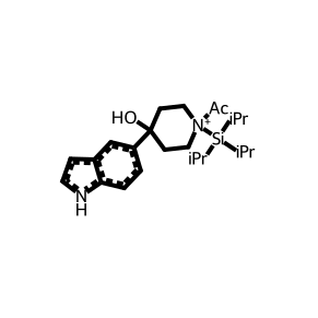 CC(=O)[N+]1([Si](C(C)C)(C(C)C)C(C)C)CCC(O)(c2ccc3[nH]ccc3c2)CC1